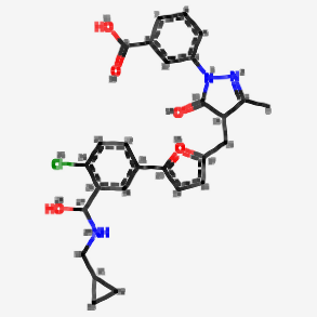 CC1=NN(c2cccc(C(=O)O)c2)C(=O)C1Cc1ccc(-c2ccc(Cl)c(C(O)NCC3CC3)c2)o1